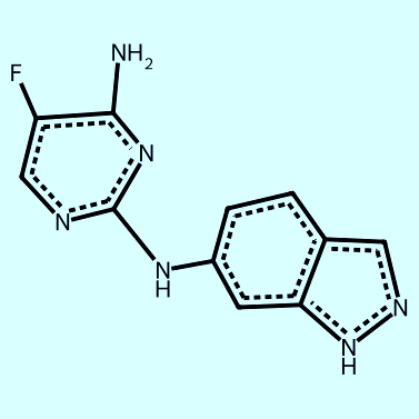 Nc1nc(Nc2ccc3cn[nH]c3c2)ncc1F